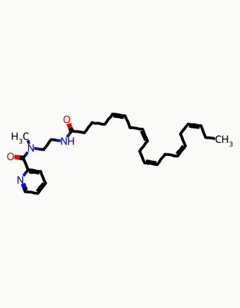 CC/C=C\C/C=C\C/C=C\C/C=C\C/C=C\CCCC(=O)NCCN(C)C(=O)c1ccccn1